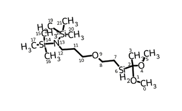 COC(C)(OC)[SiH2]CCOCCCN([Si](C)(C)C)[Si](C)(C)C